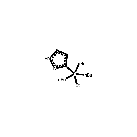 CCCCP(CC)(CCCC)(CCCC)c1cc[nH]n1